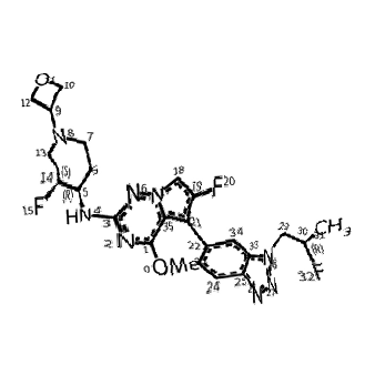 COc1nc(N[C@@H]2CCN(C3COC3)C[C@@H]2F)nn2cc(F)c(-c3ccc4nnn(C[C@@H](C)F)c4c3)c12